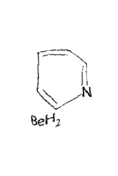 [BeH2].c1ccncc1